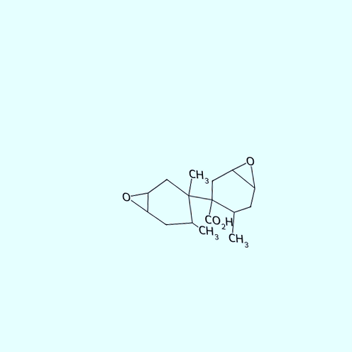 CC1CC2OC2CC1(C)C1(C(=O)O)CC2OC2CC1C